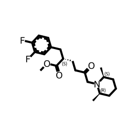 COC(=O)[C@@H](CCC(=O)CN1[C@H](C)CCC[C@@H]1C)Cc1ccc(F)c(F)c1